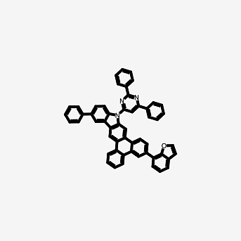 c1ccc(-c2ccc3c(c2)c2cc4c5ccccc5c5cc(-c6cccc7ccoc67)ccc5c4cc2n3-c2cc(-c3ccccc3)nc(-c3ccccc3)n2)cc1